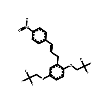 O=[N+]([O-])c1ccc(C=CCc2cc(OCC(F)(F)F)ccc2OCC(F)(F)F)cc1